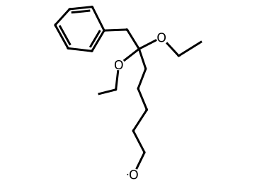 CCOC(CCCCC[O])(Cc1ccccc1)OCC